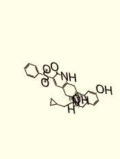 O=c1[nH]c2c(cc1S(=O)(=O)c1ccccc1)C[C@]1(O)[C@@H]3Cc4ccc(O)cc4[C@]1(CCN3CC1CC1)C2